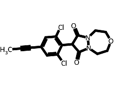 CC#Cc1cc(Cl)c(C2C(=O)N3CCOCCN3C2=O)c(Cl)c1